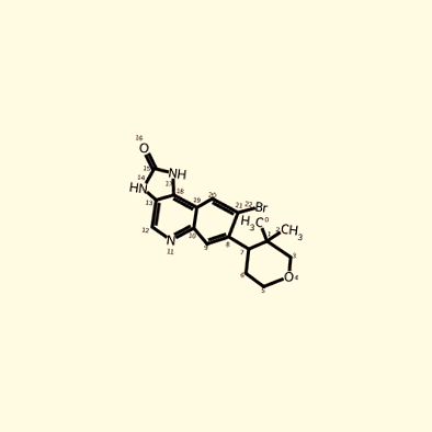 CC1(C)COCCC1c1cc2ncc3[nH]c(=O)[nH]c3c2cc1Br